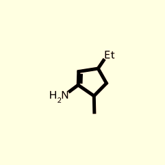 CCC1C=C(N)C(C)C1